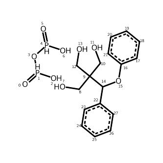 O=[PH](O)O[PH](=O)O.OCC(CO)(CO)C(Oc1ccccc1)c1ccccc1